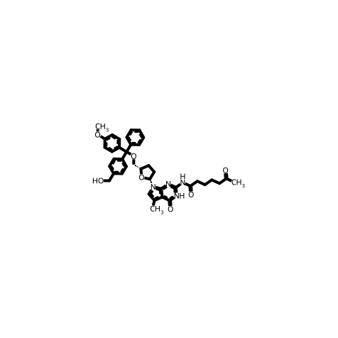 COc1ccc(C(OC[C@@H]2CC[C@H](n3cc(C)c4c(=O)[nH]c(NC(=O)CCCCC(C)=O)nc43)O2)(c2ccccc2)c2ccc(CO)cc2)cc1